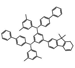 Cc1cc(C)cc(N(c2ccc(-c3ccccc3)cc2)c2cc(-c3ccc4c(c3)C(C)(C)C3=C4C=CCC3)cc(N(c3ccc(-c4ccccc4)cc3)c3cc(C)cc(C)c3)c2)c1